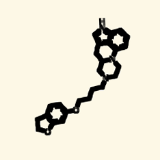 c1cc2c3c(c[nH]c3c1)CC1CN(CCCCOc3ccc4c(c3)OCC4)CCN21